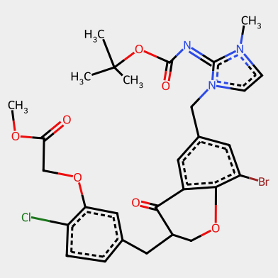 COC(=O)COc1cc(CC2COc3c(Br)cc(Cn4ccn(C)/c4=N/C(=O)OC(C)(C)C)cc3C2=O)ccc1Cl